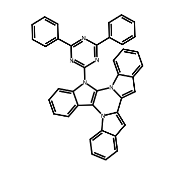 c1ccc(-c2nc(-c3ccccc3)nc(-n3c4ccccc4c4c3n3c5ccccc5cc3c3cc5ccccc5n34)n2)cc1